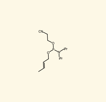 [C-]#[N+]CCOP(OCC=CC)N(C(C)C)C(C)C